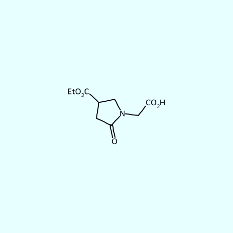 CCOC(=O)C1CC(=O)N(CC(=O)O)C1